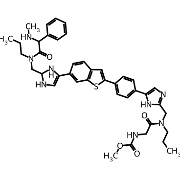 CCCN(Cc1ncc(-c2ccc(-c3cc4ccc(C5=CNC(CN(CCC)C(=O)C(NC)c6ccccc6)N5)cc4s3)cc2)[nH]1)C(=O)CNC(=O)OC